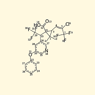 CC1(C)C(/C=C(/Cl)C(F)(F)F)C1(C(=O)O)C(c1cncc(Oc2ccccc2)c1)C(F)(F)F